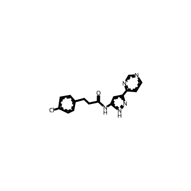 O=C(CCc1ccc(Cl)cc1)Nc1cc(-c2ccncn2)n[nH]1